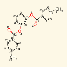 Cc1ccc(C(=O)Oc2cccc(OC(=O)c3ccc(C)cc3)c2)cc1